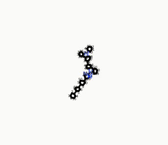 c1ccc(-c2ccc(-c3ccc(-c4cnc(-n5c6ccccc6c6cc(-c7ccc8c(c7)c7ccccc7n8-c7ccccc7)ccc65)nc4)cc3)cc2)cc1